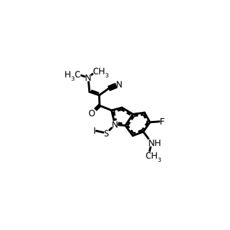 CNc1cc2c(cc1F)cc(C(=O)/C(C#N)=C/N(C)C)n2SI